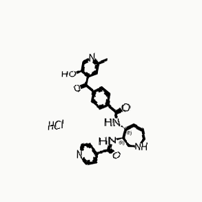 Cc1cc(C(=O)c2ccc(C(=O)N[C@@H]3CCCNC[C@H]3NC(=O)c3ccncc3)cc2)c(O)cn1.Cl